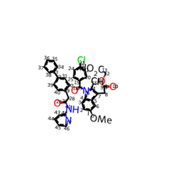 COc1ccc2c(c1)c(CC(=O)OCC(=O)O)c(C)n2C(=O)c1ccc(Cl)cc1.O=C(Cc1ccc(-c2ccccc2)cc1)Nc1ccccn1